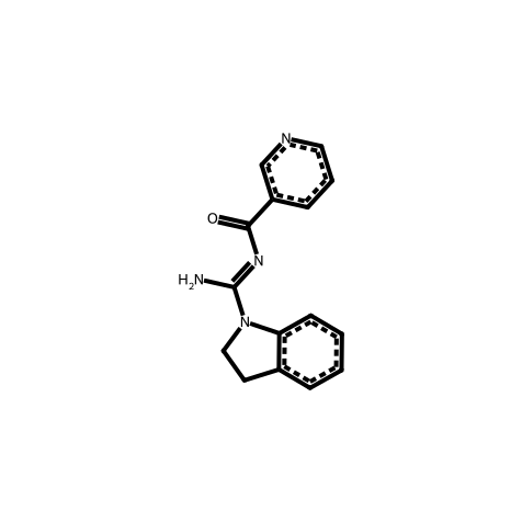 NC(=NC(=O)c1cccnc1)N1CCc2ccccc21